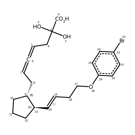 O=C(O)C(O)(O)CC=C=CC[C@H]1CCC[C@@H]1/C=C/CCOc1ccc(Br)cc1